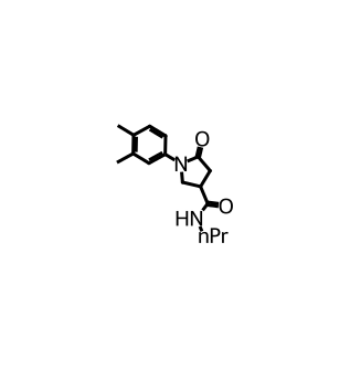 CCCNC(=O)C1CC(=O)N(c2ccc(C)c(C)c2)C1